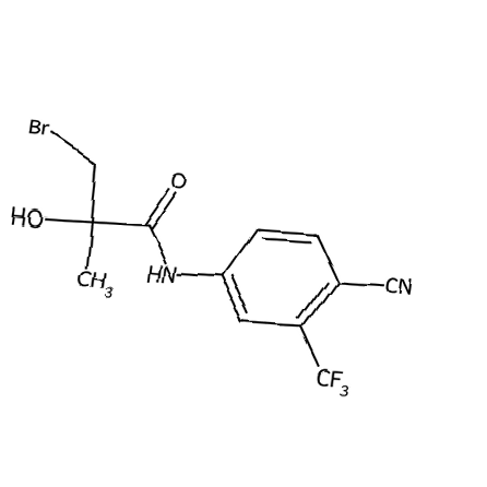 CC(O)(CBr)C(=O)Nc1ccc(C#N)c(C(F)(F)F)c1